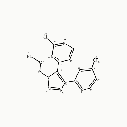 CCOCn1nnc(-c2cccc(C(F)(F)F)c2)c1-c1ccnc(Cl)n1